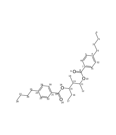 CCCCc1ccc(C(=O)OC(C)C(C)C(CC)OC(=O)c2ccc(CCCC)cc2)cc1